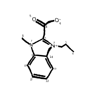 CC[n+]1c(C(=O)[O-])n(C)c2ccccc21